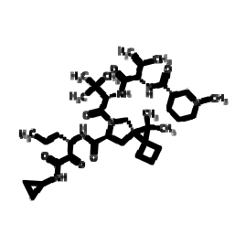 C=C(C)[C@H](NC(=O)[C@H]1CCCN(C)C1)C(=O)N[C@H](C(=O)N1C[C@]2(C[C@H]1C(=O)N[C@@H](CCC)C(=O)C(=O)NC1CC1)C(C)(C)C21CCC1)C(C)(C)C